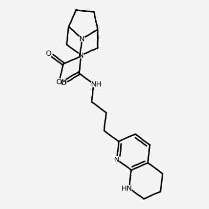 O=C(O)CN1C2CCC1CN(C(=O)NCCCc1ccc3c(n1)NCCC3)C2